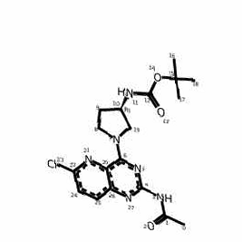 CC(=O)Nc1nc(N2CC[C@@H](NC(=O)OC(C)(C)C)C2)c2nc(Cl)ccc2n1